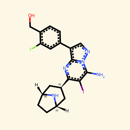 Nc1c(I)c([C@@H]2C[C@H]3CC[C@@H](C2)N3)nc2c(-c3ccc(CO)c(F)c3)cnn12